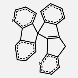 c1cnc2c(c1)CC1=C2C2(c3ccccc31)c1ccccc1-c1ncccc12